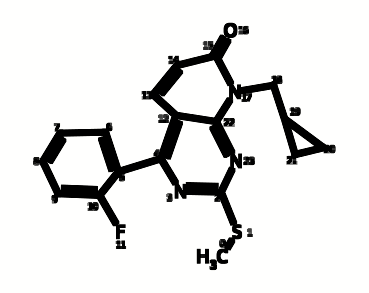 CSc1nc(-c2ccccc2F)c2ccc(=O)n(CC3CC3)c2n1